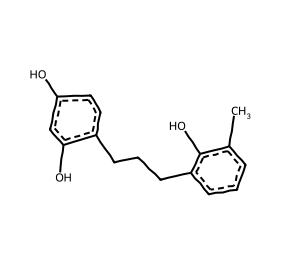 Cc1cccc(CCCc2ccc(O)cc2O)c1O